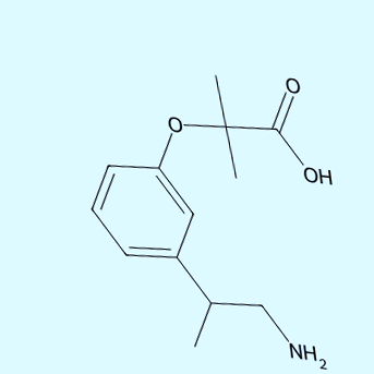 CC(CN)c1cccc(OC(C)(C)C(=O)O)c1